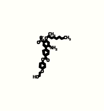 CCCCCC[C@H](C)Oc1cc(N)c(-c2ccc(C(=O)Oc3ccc(OCCO)cc3)cc2)cc1[N+](=O)[O-]